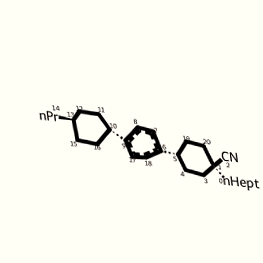 CCCCCCC[C@]1(C#N)CC[C@H](c2ccc([C@H]3CC[C@H](CCC)CC3)cc2)CC1